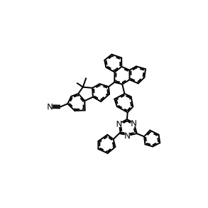 CC1(C)c2cc(C#N)ccc2-c2ccc(-c3c(-c4ccc(-c5nc(-c6ccccc6)nc(-c6ccccc6)n5)cc4)c4ccccc4c4ccccc34)cc21